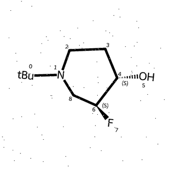 CC(C)(C)N1CC[C@H](O)[C@@H](F)C1